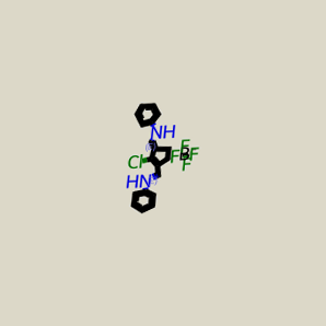 ClC1=C(/C=[NH+]/c2ccccc2)CC/C1=C\Nc1ccccc1.F[B-](F)(F)F